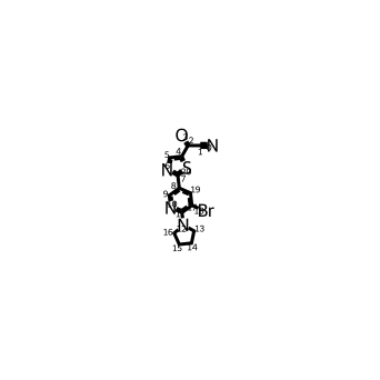 N#CC(=O)c1cnc(-c2cnc(N3CCCC3)c(Br)c2)s1